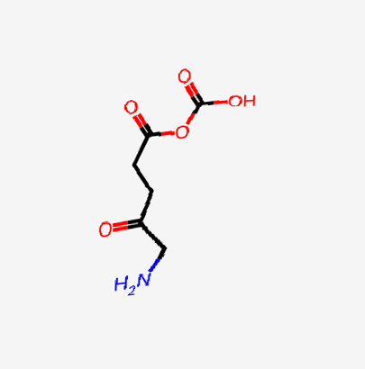 NCC(=O)CCC(=O)OC(=O)O